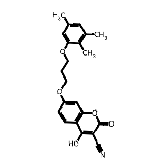 Cc1cc(C)c(C)c(OCCCOc2ccc3c(O)c(C#N)c(=O)oc3c2)c1